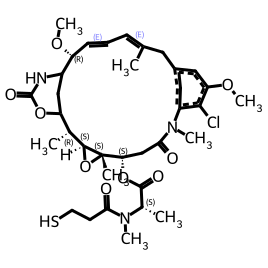 COc1cc2cc(c1Cl)N(C)C(=O)C[C@H](OC(=O)[C@H](C)N(C)C(=O)CCS)[C@]1(C)O[C@H]1[C@H](C)C1CC(NC(=O)O1)[C@H](OC)/C=C/C=C(\C)C2